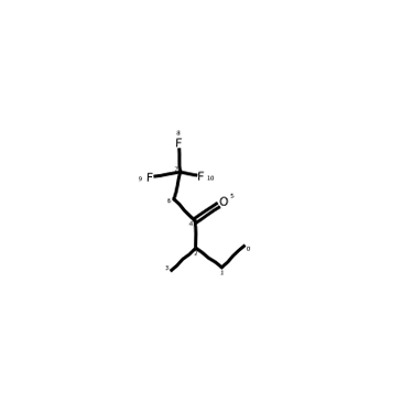 CCC(C)C(=O)CC(F)(F)F